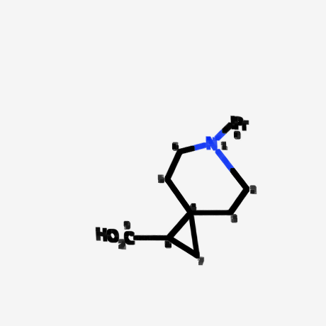 CC(C)N1CCC2(CC1)CC2C(=O)O